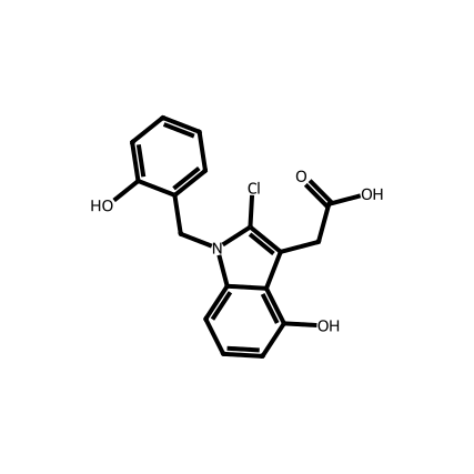 O=C(O)Cc1c(Cl)n(Cc2ccccc2O)c2cccc(O)c12